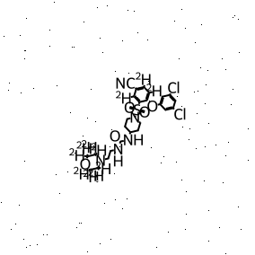 [2H]c1c([2H])c(Oc2cc(Cl)cc(Cl)c2)c(S(=O)(=O)N2CCC(NC(=O)NCCN3C([2H])([2H])C([2H])([2H])OC([2H])([2H])C3([2H])[2H])CC2)c([2H])c1C#N